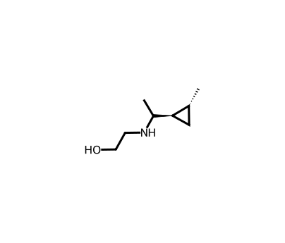 CC(NCCO)[C@@H]1C[C@H]1C